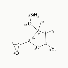 CCC(OCC1CO1)C(C)C(C)(C)O[SiH3]